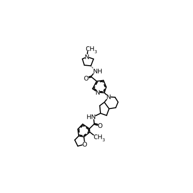 Cc1c(C(=O)NC2CC3CCCN(c4ccc(C(=O)N[C@@H]5CCN(C)C5)cn4)C3C2)ccc2c1OCC2